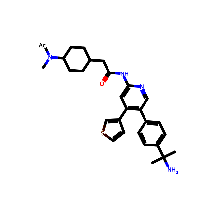 CC(=O)N(C)C1CCC(CC(=O)Nc2cc(-c3ccsc3)c(-c3ccc(C(C)(C)N)cc3)cn2)CC1